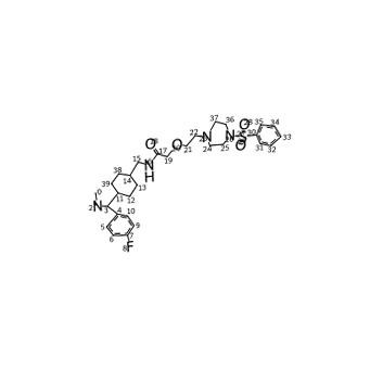 CN(C)C(c1ccc(F)cc1)C1CCC(CNC(=O)COCCN2CCN(S(=O)(=O)c3ccccc3)CC2)CC1